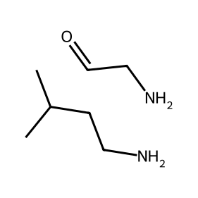 CC(C)CCN.NCC=O